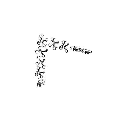 [Ni+2].[Ni+2].[Ni+2].[Ni+2].[Ni+2].[Ni+2].[Ni+2].[Ni+2].[Ni+2].[O-][Ti]([O-])([O-])[F].[O-][Ti]([O-])([O-])[F].[O-][Ti]([O-])([O-])[F].[O-][Ti]([O-])([O-])[F].[O-][Ti]([O-])([O-])[F].[O-][Ti]([O-])([O-])[F]